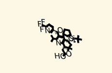 CC(C)c1nc2c(c3c1[C@@H](c1ccc(C(F)(F)F)nc1)OC31CCCC1)[C@@H](O[Si](C)(C)C(C)(C)C)CC(C)(C)[C@H]2CC(=O)O